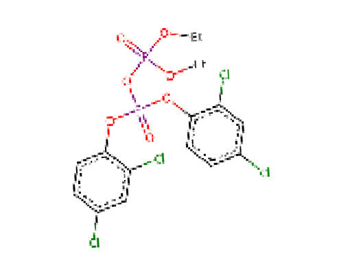 CCOP(=O)(OCC)OP(=O)(Oc1ccc(Cl)cc1Cl)Oc1ccc(Cl)cc1Cl